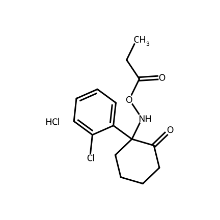 CCC(=O)ONC1(c2ccccc2Cl)CCCCC1=O.Cl